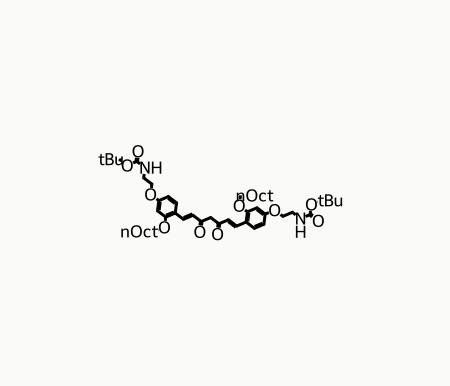 CCCCCCCCOc1cc(OCCNC(=O)OC(C)(C)C)ccc1C=CC(=O)CC(=O)C=Cc1ccc(OCCNC(=O)OC(C)(C)C)cc1OCCCCCCCC